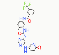 COc1ccc(Nc2cc(N(C)C(=O)Nc3cc(NC(=O)c4cccc(C(F)(F)F)c4)ccc3C)ncn2)cn1